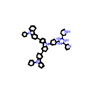 C1=CNCC(C2NC(c3ccc(-n4c5ccc(-c6ccc7c(c6)c6ccccc6n7-c6ccccc6)cc5c5cc(-c6ccc7c(c6)c6ccccc6n7-c6ccccc6)ccc54)cc3)NC(c3cccnc3)N2)=C1